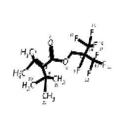 CC(C)=C(C(=O)OCC(F)(C(F)(F)F)C(F)(F)F)C(C)(C)C